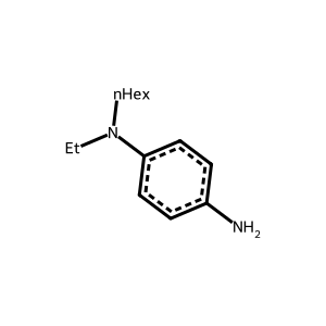 CCCCCCN(CC)c1ccc(N)cc1